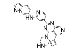 C1=CC(c2cncc3nc(-c4ccnc(Nc5ccc6ccnn6c5)c4)nc(N4CCNCC4)c23)=C1